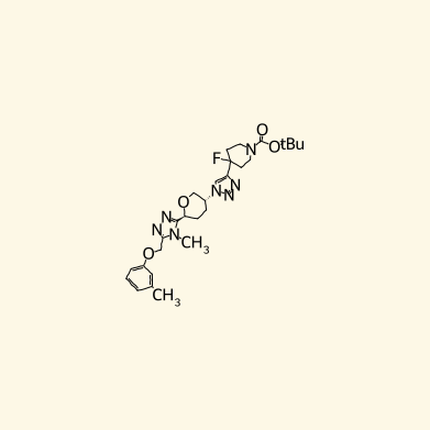 Cc1cccc(OCc2nnc([C@@H]3CC[C@@H](n4cc(C5(F)CCN(C(=O)OC(C)(C)C)CC5)nn4)CO3)n2C)c1